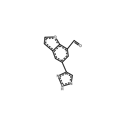 O=Cc1cc(-c2cn[nH]n2)cc2ccoc12